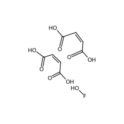 O=C(O)/C=C\C(=O)O.O=C(O)/C=C\C(=O)O.OF